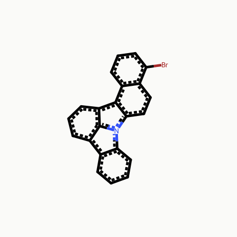 Brc1cccc2c1ccc1c2c2cccc3c4ccccc4n1c32